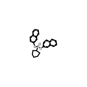 O=P(Oc1ccc2ccccc2c1)(Oc1ccc2ccccc2c1)C1CCCCC1